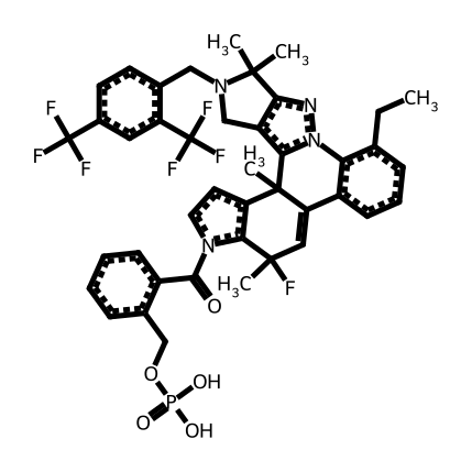 CCc1cccc2c1-n1nc3c(c1C1(C)C2=CC(C)(F)c2c1ccn2C(=O)c1ccccc1COP(=O)(O)O)CN(Cc1ccc(C(F)(F)F)cc1C(F)(F)F)C3(C)C